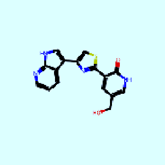 O=c1[nH]cc(CO)cc1-c1nc(-c2c[nH]c3ncccc23)cs1